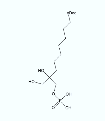 CCCCCCCCCCCCCCCCCC(O)(CO)COP(=O)(O)O